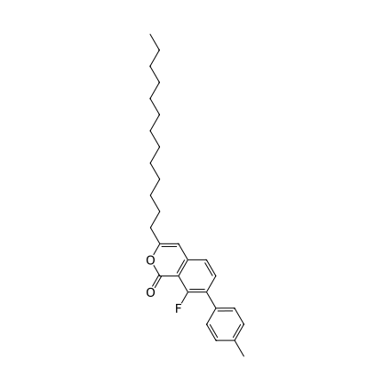 CCCCCCCCCCCCCc1cc2ccc(-c3ccc(C)cc3)c(F)c2c(=O)o1